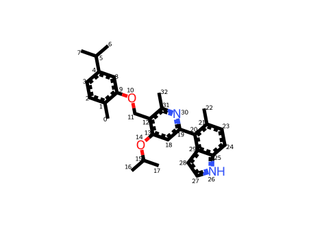 Cc1ccc(C(C)C)cc1OCc1c(OC(C)C)cc(-c2c(C)ccc3[nH]ccc23)nc1C